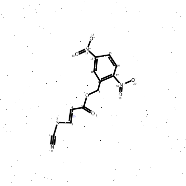 N#CS/C=C/C(=O)OCc1cc([N+](=O)[O-])ccc1[N+](=O)[O-]